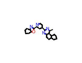 Cc1nc(-c2ccnc(-c3nc4ccccc4o3)c2)nc2ccc3ccccc3c12